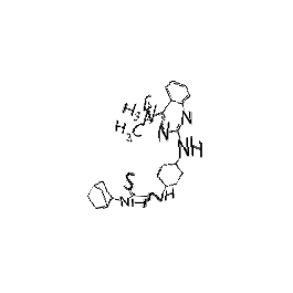 CN(C)c1nc(NC2CCC(NC(=S)NC3CC4CCC3C4)CC2)nc2ccccc12